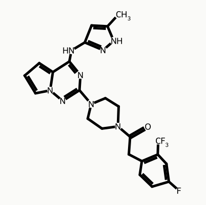 Cc1cc(Nc2nc(N3CCN(C(=O)Cc4ccc(F)cc4C(F)(F)F)CC3)nn3cccc23)n[nH]1